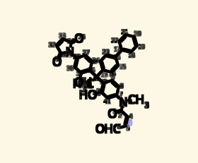 CN(C(=O)/C=C\C=O)c1ccc(C(C)(c2ccc(-c3ccccc3)cc2)c2ccc(N3C(=O)C=CC3=O)cc2O)c(O)c1